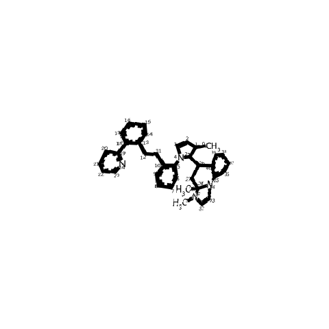 CC1C=CN(c2ccccc2CCc2ccccc2-c2ccccn2)C1C1C[C@@]2(C)N(C)C=CN2c2ccccc21